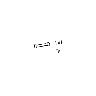 [LiH].[O]=[Ti].[Ti]